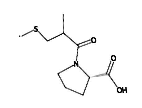 [CH2]SCC(C)C(=O)N1CCC[C@H]1C(=O)O